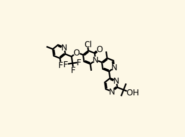 Cc1cnc(C(Oc2cc(C)n(-c3cc(-c4ccnc(C(C)(C)O)n4)ncc3C)c(=O)c2Cl)C(F)(F)F)c(F)c1